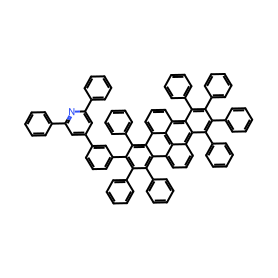 c1ccc(-c2cc(-c3cccc(-c4c(-c5ccccc5)c(-c5ccccc5)c5c6cccc7c8c(-c9ccccc9)c(-c9ccccc9)c(-c9ccccc9)c(-c9ccccc9)c8c8cccc(c5c4-c4ccccc4)c8c76)c3)cc(-c3ccccc3)n2)cc1